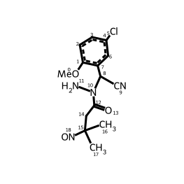 COc1ccc(Cl)cc1C(C#N)N(N)C(=O)CC(C)(C)N=O